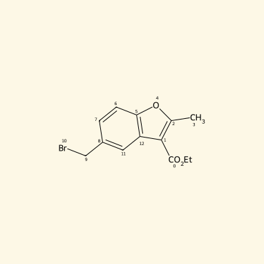 CCOC(=O)c1c(C)oc2ccc(CBr)cc12